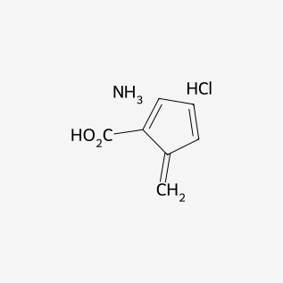 C=C1C=CC=C1C(=O)O.Cl.N